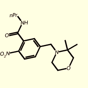 CCCNC(=O)c1cc(CN2CCOCC2(C)C)ccc1[N+](=O)[O-]